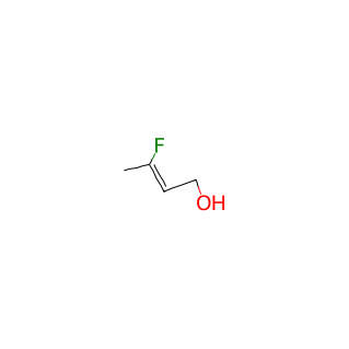 CC(F)=CCO